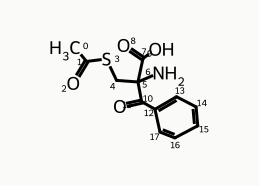 CC(=O)SCC(N)(C(=O)O)C(=O)c1ccccc1